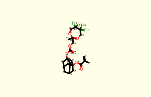 C=C(C)C(=O)OC12CC3CC(CC(OC(=O)OCC4(C)OCC(F)(F)C(F)(F)CO4)(C3)C1)C2